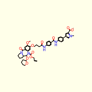 C=CCOC(=O)N1c2cc(OCCCC(=O)Nc3ccc(C(=O)Nc4ccc(-c5cc(C(=O)OC)n(C)c5)cc4)cc3)c(OC)cc2C(=O)N2CCCCC2C1OC1CCCCO1